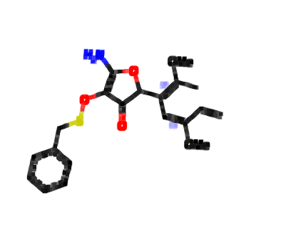 C=C/C(=C\C(=C(/C)OC)C1OC(N)=C(OSCc2ccccc2)C1=O)OC